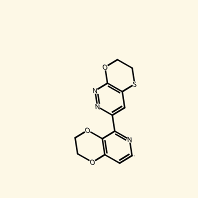 [c]1cc2c(c(-c3cc4c(nn3)OCCS4)n1)OCCO2